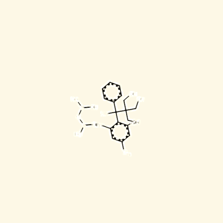 Cc1cc(C(C)(C)C)c(C(O)(c2ccccc2)C(CO)(CO)CO)c(C(C)(C)C)c1.OP(O)OP(O)O